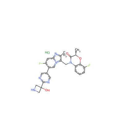 Cc1nc2cc(F)c(-c3cnc(C4(O)CNC4)nc3)cn2c1CN1C(=O)[C@@H](C)Oc2c(F)cccc21.Cl